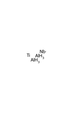 [AlH3].[AlH3].[Nb].[Ti]